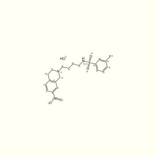 Cl.O=[N+]([O-])c1ccc2c(c1)CN(CCCCNS(=O)(=O)c1cccc(F)c1)CC2